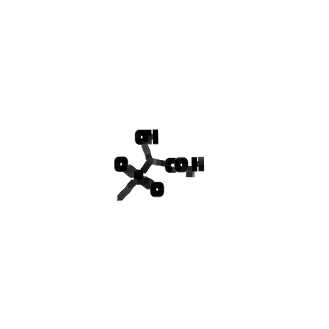 CS(=O)(=O)C(O)C(=O)O